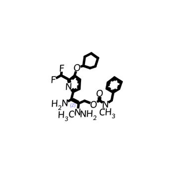 CN(Cc1ccccc1)C(=O)OC/C(=C(/N)c1ccc(OC2CCCCC2)c(C(F)F)n1)N(C)N